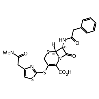 CNC(=O)Cc1csc(SC2=C(C(=O)O)N3C(=O)[C@@H](NC(=O)Cc4ccccc4)[C@H]3SC2)n1